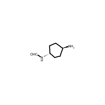 N[C@H]1CC[C@H](NC=O)CC1